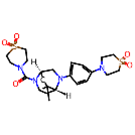 CC1(C)C[C@@H]2CN(c3ccc(N4CCS(=O)(=O)CC4)cc3)[C@@H]1CCN2C(=O)N1CCS(=O)(=O)CC1